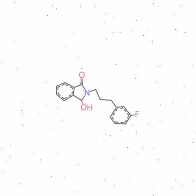 O=C1c2ccccc2C(O)N1CCCc1cccc(F)c1